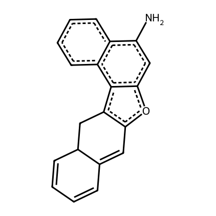 Nc1cc2oc3c(c2c2ccccc12)CC1C=CC=CC1=C3